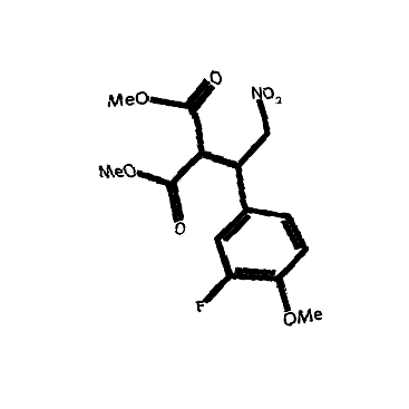 COC(=O)C(C(=O)OC)C(C[N+](=O)[O-])c1ccc(OC)c(F)c1